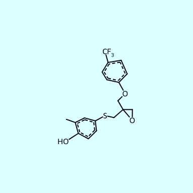 Cc1cc(SCC2(COc3ccc(C(F)(F)F)cc3)CO2)ccc1O